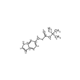 CC(C)(C)OC(=O)COc1ccc2ncsc2c1